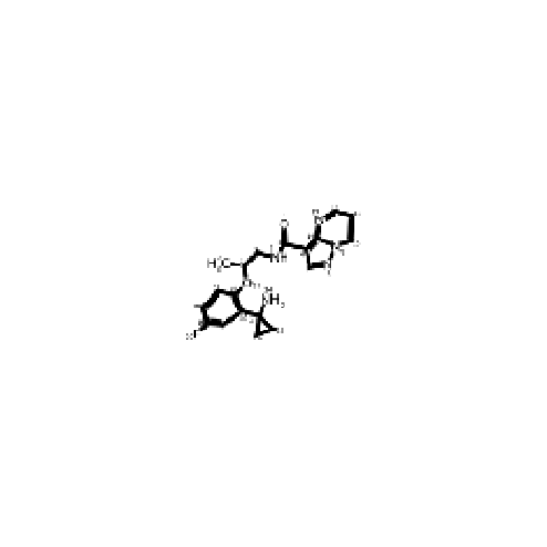 C[C@@H](CNC(=O)c1cnn2cccnc12)Oc1ccc(F)cc1C1(N)CC1